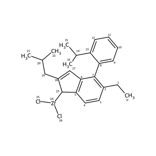 CCc1ccc2c(c1-c1ccccc1C(C)C)C=C(CC(C)C)[CH]2[Zr]([Cl])[Cl]